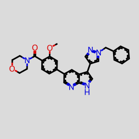 COc1cc(-c2cnc3[nH]cc(-c4cnn(Cc5ccccc5)c4)c3c2)ccc1C(=O)N1CCOCC1